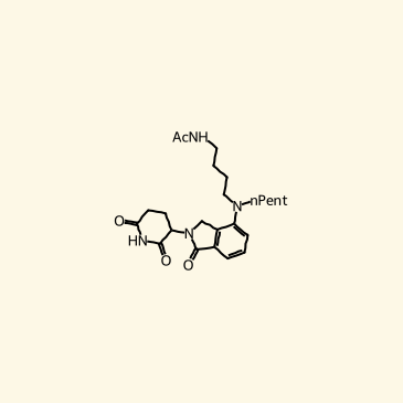 CCCCCN(CCCCNC(C)=O)c1cccc2c1CN(C1CCC(=O)NC1=O)C2=O